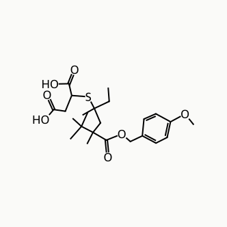 CCC(C)(CC(C)(C(=O)OCc1ccc(OC)cc1)C(C)(C)C)SC(CC(=O)O)C(=O)O